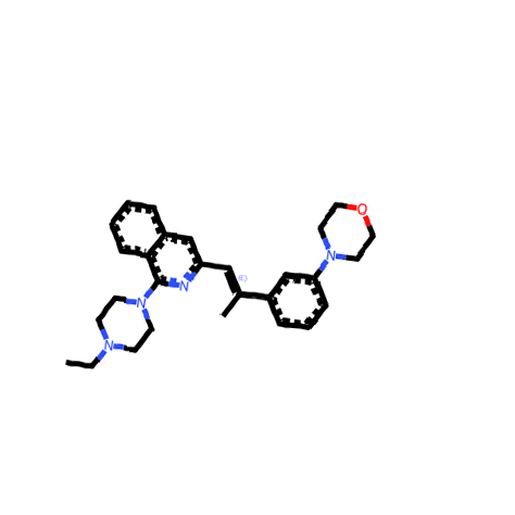 CCN1CCN(c2nc(/C=C(\C)c3cccc(N4CCOCC4)c3)cc3ccccc23)CC1